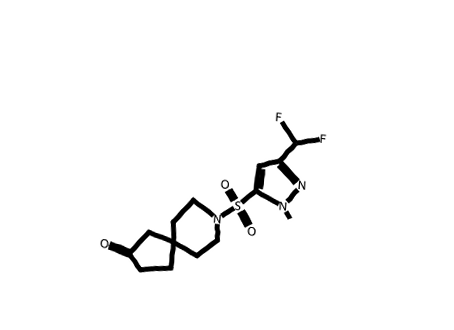 Cn1nc(C(F)F)cc1S(=O)(=O)N1CCC2(CCC(=O)C2)CC1